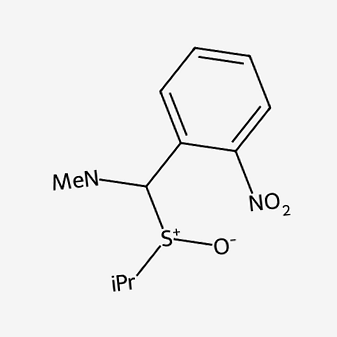 CNC(c1ccccc1[N+](=O)[O-])[S+]([O-])C(C)C